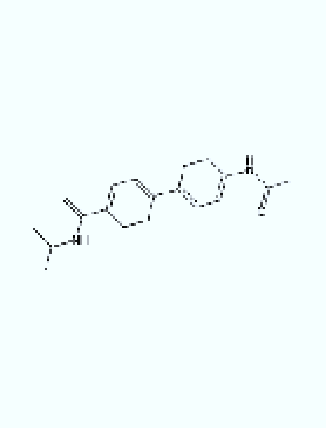 C=C(NC(C)C)C1=CC=C(C2=CC=C(NC(C)=O)CC2)CC1